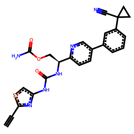 C#Cc1nc(NC(=O)N[C@@H](COC(N)=O)c2ccc(-c3cccc(C4(C#N)CC4)c3)cn2)cs1